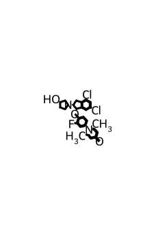 Cc1cc(=O)cc(C)n1-c1ccc(O[C@H]2c3cc(Cl)cc(Cl)c3C[C@H]2N2CC[C@@H](O)C2)c(F)c1